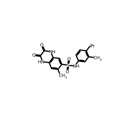 Cc1cc(NS(=O)(=O)c2cc3[nH]c(=O)c(=O)[nH]c3cc2C)ccc1C(C)C